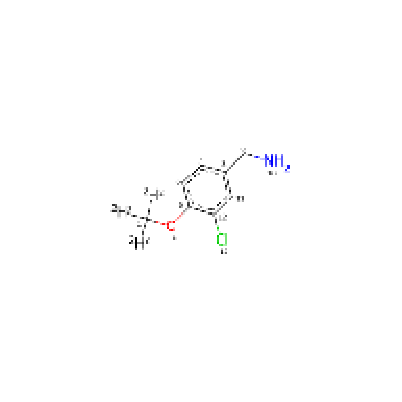 [2H]C([2H])([2H])Oc1ccc(CN)cc1Cl